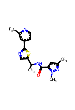 CC(NC(=O)c1cc(C(F)(F)F)nn1C)c1cnc(-c2ccnc(C(F)(F)F)c2)s1